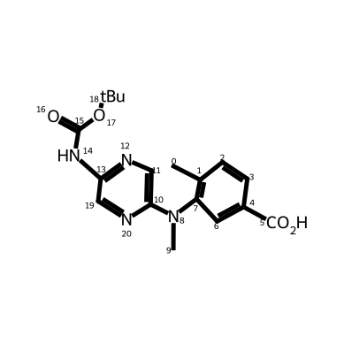 Cc1ccc(C(=O)O)cc1N(C)c1cnc(NC(=O)OC(C)(C)C)cn1